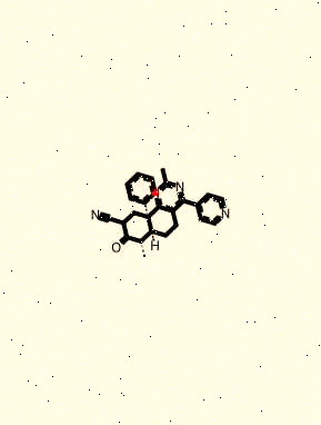 Cc1nc(-c2ccncc2)c2c(n1)[C@]1(c3ccccc3)CC(C#N)C(=O)[C@@H](C)[C@@H]1CC2